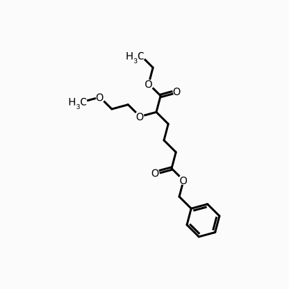 CCOC(=O)C(CCCC(=O)OCc1ccccc1)OCCOC